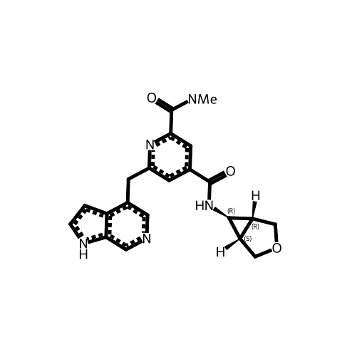 CNC(=O)c1cc(C(=O)N[C@H]2[C@@H]3COC[C@@H]32)cc(Cc2cncc3[nH]ccc23)n1